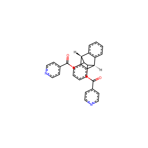 O=C(OC1C(OC(=O)c2ccncc2)[C@H]2c3ccccc3[C@H]1c1ccccc12)c1ccncc1